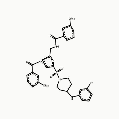 CCc1cccc(NC2CCN(S(=O)(=O)c3ccc(CNC(=O)c4cccc(OC)c4)s3)CC2)c1.COc1cccc(C(N)=O)c1